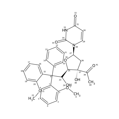 COc1ccccc1C(c1ccccc1)(c1ccccc1OC)C(O)[C@H]1O[C@@H](n2ccc(=O)[nH]c2=O)C[C@@]1(O)C(C)=O